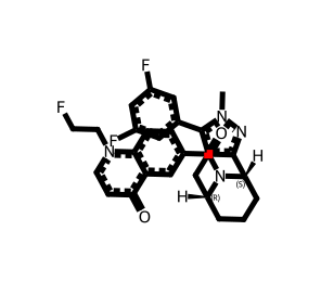 Cn1nc2c(c1-c1cc(F)cc(F)c1)C[C@H]1CCC[C@@H]2N1C(=O)c1ccc2c(c1)c(=O)ccn2CCF